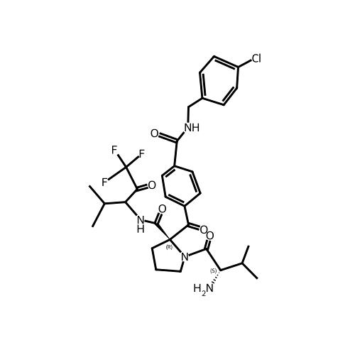 CC(C)C(NC(=O)[C@]1(C(=O)c2ccc(C(=O)NCc3ccc(Cl)cc3)cc2)CCCN1C(=O)[C@@H](N)C(C)C)C(=O)C(F)(F)F